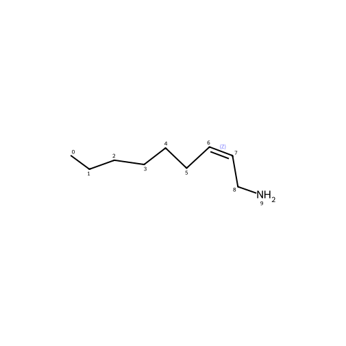 CCCCCC/C=C\CN